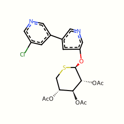 CC(=O)O[C@@H]1[C@@H](OC(C)=O)[C@H](OC(C)=O)CS[C@H]1Oc1cncc(-c2cncc(Cl)c2)c1